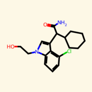 NC(=O)C(c1cn(CCO)c2cccc(Cl)c12)C1CCCCC1